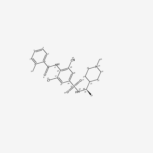 Cc1ccccc1C(=O)Nc1c(Cl)cc(S(=O)(=O)N[C@H](C)C2CCN(C)CC2)cc1C#N